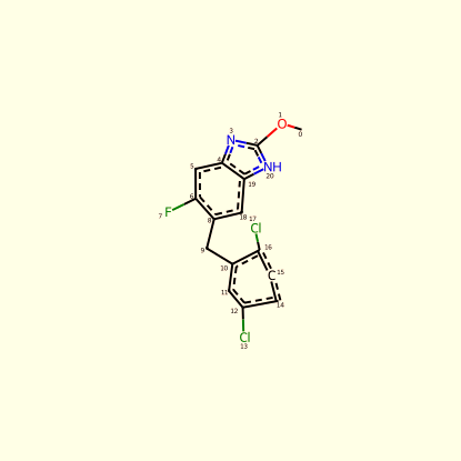 COc1nc2cc(F)c(Cc3cc(Cl)ccc3Cl)cc2[nH]1